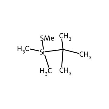 CS[Si](C)(C)C(C)(C)C